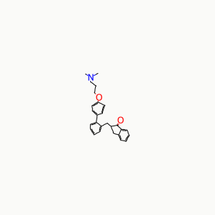 CN(C)CCCOc1ccc(-c2ccccc2CC2Cc3ccccc3C2=O)cc1